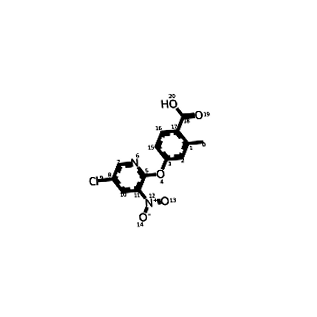 Cc1cc(Oc2ncc(Cl)cc2[N+](=O)[O-])ccc1C(=O)O